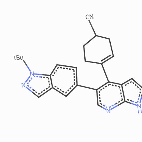 CC(C)(C)n1ncc2cc(-c3cnc4[nH]ccc4c3C3=CCC(C#N)CC3)ccc21